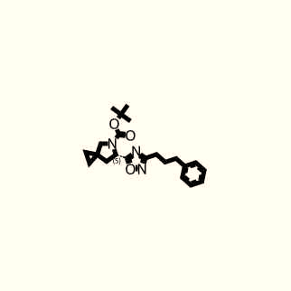 CC(C)(C)OC(=O)N1CC2(CC2)C[C@H]1c1nc(CCCc2ccccc2)no1